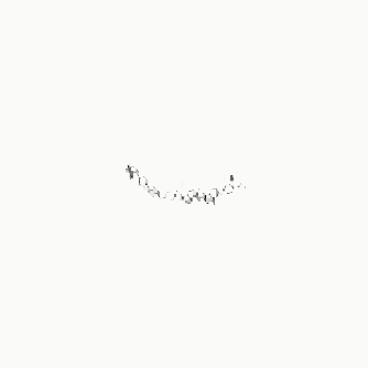 N#Cc1ccc(N2CCc3c(ncnc3Nc3ccc(C(=O)NC4CCC(CN5CCN(c6ccc(N7CCC(=O)NC7=O)cn6)CC5)CC4)c(F)n3)C2)cc1C(F)(F)F